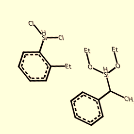 CCO[SiH](OCC)C(C)c1ccccc1.CCc1ccccc1[SiH](Cl)Cl